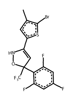 Cc1cc(C2=CC(c3c(F)cc(F)cc3F)(C(F)(F)F)ON2)sc1Br